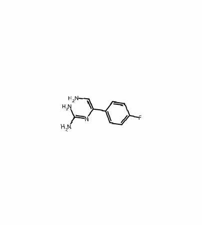 N/C=C(\N=C(N)N)c1ccc(F)cc1